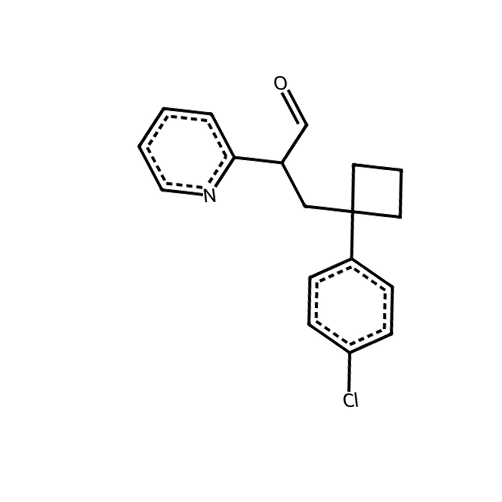 O=CC(CC1(c2ccc(Cl)cc2)CCC1)c1ccccn1